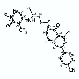 Cc1cc(-c2ccc(C#N)cn2)cc2ccn(CCC[C@H](C)Nc3cnn(C)c(=O)c3C(F)(F)F)c(=O)c12